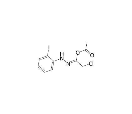 CC(=O)OC(CCl)=NNc1ccccc1I